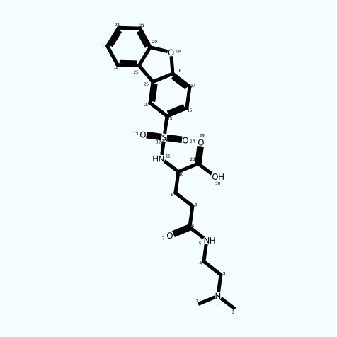 CN(C)CCNC(=O)CCC(NS(=O)(=O)c1ccc2oc3ccccc3c2c1)C(=O)O